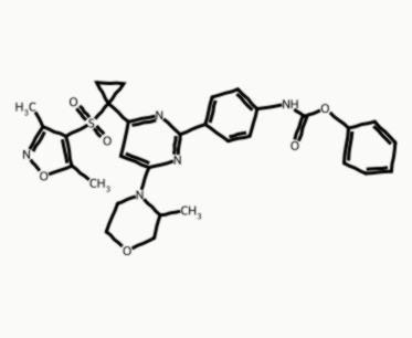 Cc1noc(C)c1S(=O)(=O)C1(c2cc(N3CCOCC3C)nc(-c3ccc(NC(=O)Oc4ccccc4)cc3)n2)CC1